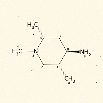 C[C@@H]1CN(C)[C@H](C)C[C@H]1N